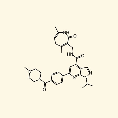 CC1=CCC(C)=C(CNC(=O)c2cc(-c3ccc(C(=O)N4CCN(C)CC4)cc3)nc3c2cnn3C(C)C)C(=O)N1